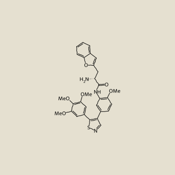 COc1ccc(-c2cnsc2-c2cc(OC)c(OC)c(OC)c2)cc1NC(=O)[C@H](N)Cc1cc2ccccc2o1